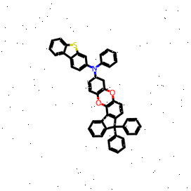 C1=CC(N(c2ccccc2)c2ccc3c(c2)sc2ccccc23)CC2=C1Oc1c(ccc3c1-c1ccccc1C3(c1ccccc1)c1ccccc1)O2